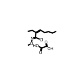 CCCCC=C(CC)C(Cl)=NOC.O=C(O)C(=O)O